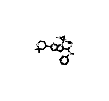 C[C@H]1C[C@]1(C#N)n1c(C(=O)N(C)c2ccccc2)cc2cc(C3CCOC(C)(C)C3)sc21